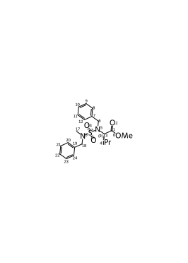 COC(=O)[C@@H](C(C)C)N(Cc1ccccc1)S(=O)(=O)N(C)Cc1ccccc1